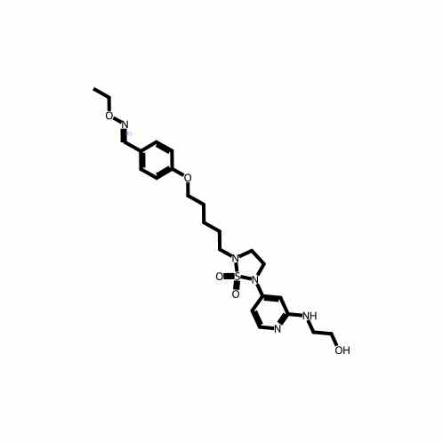 CCO/N=C/c1ccc(OCCCCCN2CCN(c3ccnc(NCCO)c3)S2(=O)=O)cc1